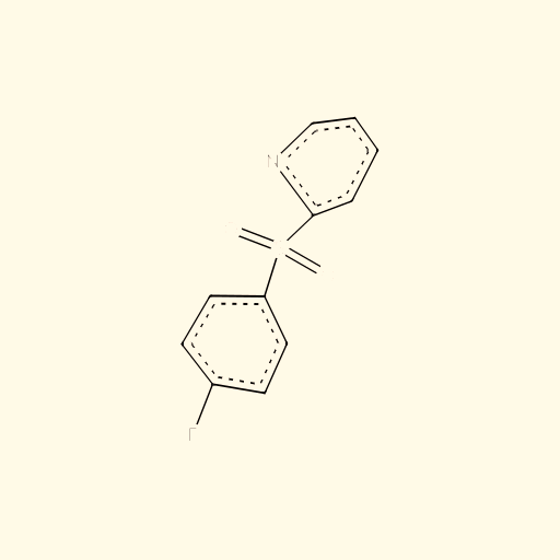 O=S(=O)(c1ccc(F)cc1)c1ccccn1